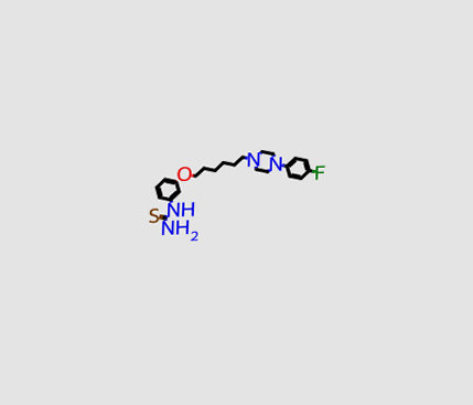 NC(=S)Nc1cccc(OCCCCCCN2CCN(c3ccc(F)cc3)CC2)c1